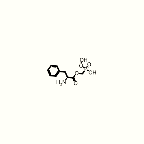 N[C@@H](Cc1ccccc1)C(=O)OCP(=O)(O)OO